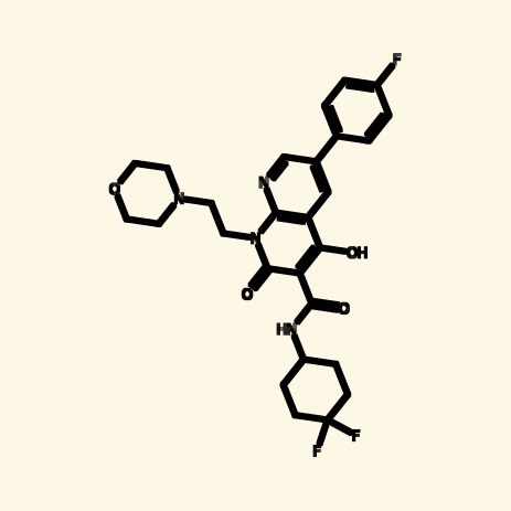 O=C(NC1CCC(F)(F)CC1)c1c(O)c2cc(-c3ccc(F)cc3)cnc2n(CCN2CCOCC2)c1=O